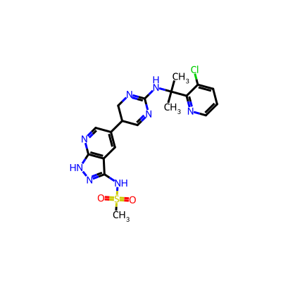 CC(C)(NC1=NCC(c2cnc3[nH]nc(NS(C)(=O)=O)c3c2)C=N1)c1ncccc1Cl